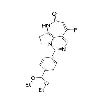 CCOC(OCC)c1ccc(C2=NC=C3C(F)=CC(=O)NC4=C3N2CC4)cc1